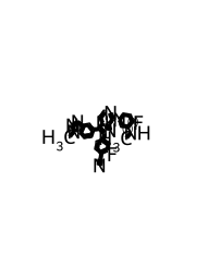 CN[C@H]1CN(c2nccn3c(-c4ccc5c(c4)nnn5C)c(-c4ccc(C#N)c(F)c4)nc23)CC[C@H]1F